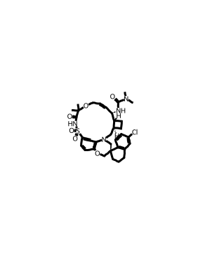 CN(C)C(=O)N[C@H]1C=CCOC(C)(C)C(=O)NS(=O)(=O)c2ccc3c(c2)N(C[C@@H]2CC[C@H]21)C[C@@]1(CCCc2cc(Cl)ccc21)CO3